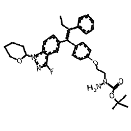 CC/C(=C(/c1ccc(OCCN(N)C(=O)OC(C)(C)C)cc1)c1ccc2c(c1)c(F)nn2C1CCCCO1)c1ccccc1